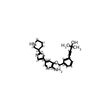 CC(C)(O)C#Cc1cccc(COc2cc(-c3cnc(C4CCCNC4)s3)cnc2N)c1